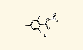 Cc1cc(C)c(C(=O)O[PH2]=O)c(C)c1.[Li]